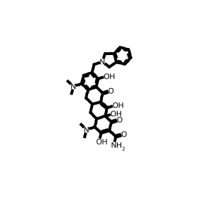 CN(C)c1cc(CN2Cc3ccccc3C2)c(O)c2c1CC1CC3C(N(C)C)C(O)=C(C(N)=O)C(=O)C3(O)C(O)=C1C2=O